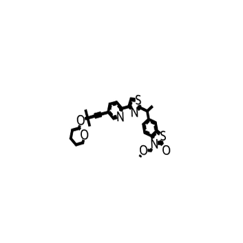 COCn1c(=O)sc2cc(C(C)c3nc(-c4ccc(C#CC(C)(C)OC5CCCCO5)cn4)cs3)ccc21